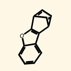 C1=C2CC(=C1)c1c2oc2ccccc12